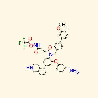 COc1cccc(-c2ccc(CN(C(=O)CCC(=O)NOC(=O)C(F)(F)F)c3ccccc3Oc3cccc(CN)c3)cc2)c1.c1ccc2c(c1)CCNC2